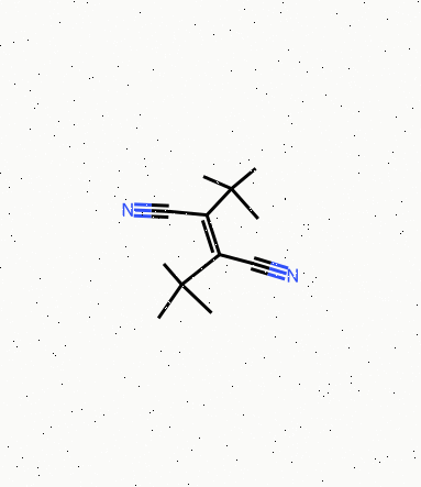 CC(C)(C)/C(C#N)=C(\C#N)C(C)(C)C